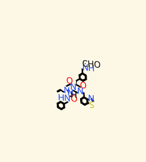 C=CCN1CC(=O)N2[C@@H](Cc3cccc(CNC=O)c3)C(=O)N(Cc3cccc4scnc34)C[C@@H]2N1C(=O)NCc1ccccc1